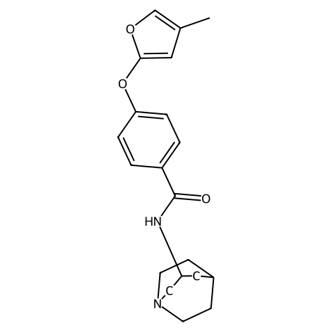 Cc1coc(Oc2ccc(C(=O)NC3CC4CCN(CC4)C3)cc2)c1